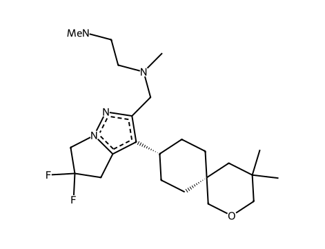 CNCCN(C)Cc1nn2c(c1[C@H]1CC[C@@]3(CC1)COCC(C)(C)C3)CC(F)(F)C2